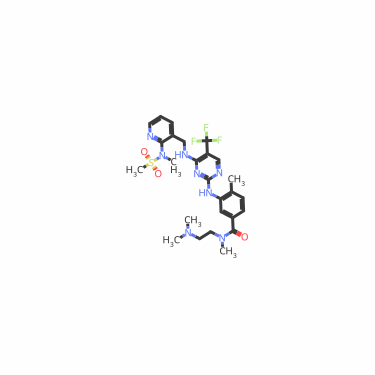 Cc1ccc(C(=O)N(C)CCN(C)C)cc1Nc1ncc(C(F)(F)F)c(NCc2cccnc2N(C)S(C)(=O)=O)n1